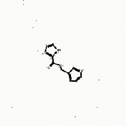 O=C(NCc1cccnc1)c1ncc[nH]1